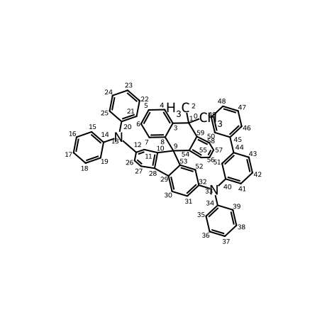 CC1(C)c2ccccc2C2(c3cc(N(c4ccccc4)c4ccccc4)ccc3-c3ccc(N(c4ccccc4)c4cccc(-c5ccccc5)c4)cc32)c2ccccc21